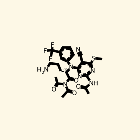 CSc1nc(NC(C)=O)nc(N(c2cccc(C(F)(F)F)c2)[C@@H](CCCN)C(=O)N(C(C)=O)C(C)=O)c1C#N